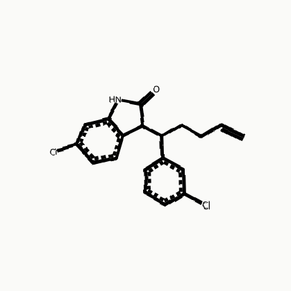 C=CCCC(c1cccc(Cl)c1)C1C(=O)Nc2cc(Cl)ccc21